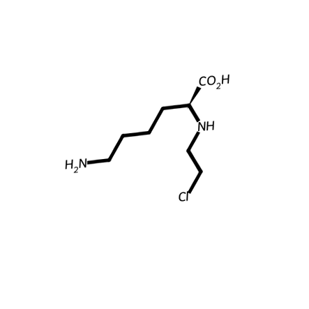 NCCCC[C@H](NCCCl)C(=O)O